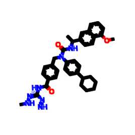 CN/N=C(\N=N)NC(=O)c1ccc(CN(C(=O)NC(C)c2ccc3c(OC)cccc3c2)c2ccc(C3CCCCC3)cc2)cc1